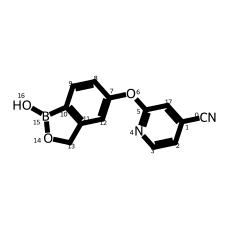 N#Cc1ccnc(Oc2ccc3c(c2)COB3O)c1